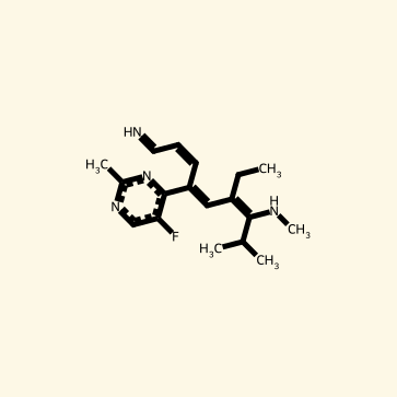 CCC(/C=C(\C=C/C=N)c1nc(C)ncc1F)=C(\NC)C(C)C